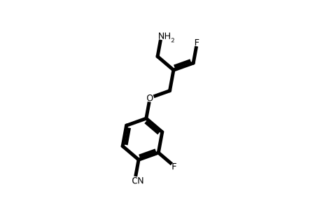 N#Cc1ccc(OCC(=CF)CN)cc1F